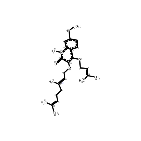 CCCCCCCCNc1ccc2c(OCC=C(C)C)c(OC/C=C(\C)CCC=C(C)C)c(=O)n(C)c2c1